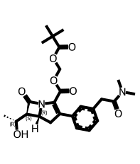 C[C@@H](O)[C@H]1C(=O)N2C(C(=O)OCOC(=O)C(C)(C)C)=C(c3cccc(CC(=O)N(C)C)c3)C[C@H]12